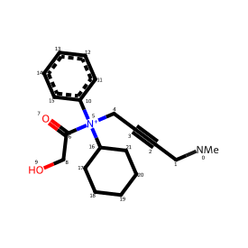 CNCC#CC[N+](C(=O)CO)(c1ccccc1)C1CCCCC1